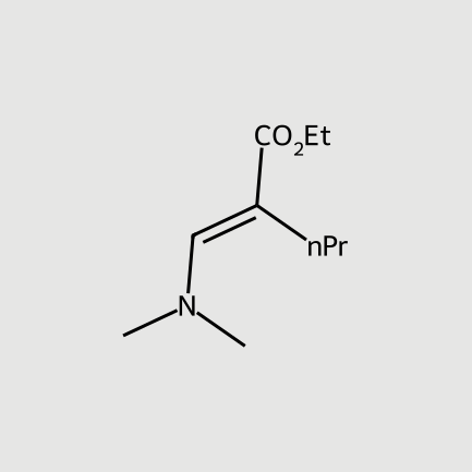 CCC/C(=C\N(C)C)C(=O)OCC